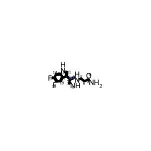 N=C/C(=C\NCCC(N)=O)c1c[nH]c2cc(F)c(F)cc12